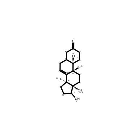 C[C@]12CCC(=O)CC1CC=C1[C@H]2CC[C@]2(C)C(O)CC[C@@H]12